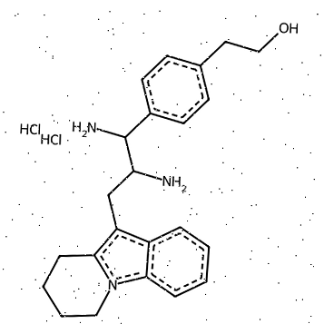 Cl.Cl.NC(Cc1c2n(c3ccccc13)CCCC2)C(N)c1ccc(CCO)cc1